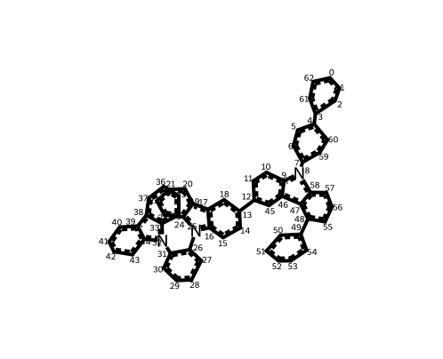 c1ccc(-c2ccc(-n3c4ccc(-c5ccc6c(c5)c5ccccc5n6-c5ccccc5-n5c6ccccc6c6ccccc65)cc4c4c(-c5ccccc5)cccc43)cc2)cc1